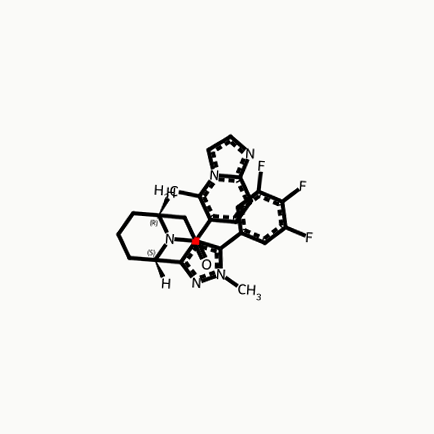 Cc1c(C(=O)N2[C@@H]3CCC[C@H]2c2nn(C)c(-c4cc(F)c(F)c(F)c4)c2C3)ccc2nccn12